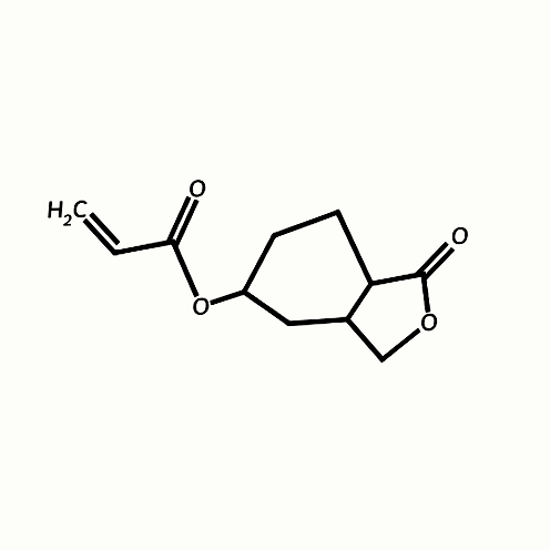 C=CC(=O)OC1CCC2C(=O)OCC2C1